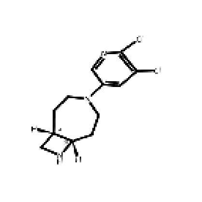 Clc1cc(N2CC[C@H]3CN[C@H]3CC2)cnc1Cl